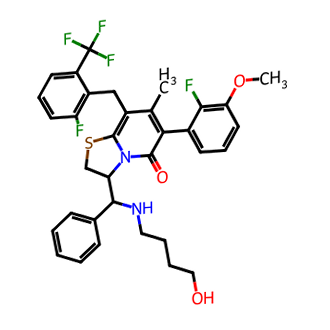 COc1cccc(-c2c(C)c(Cc3c(F)cccc3C(F)(F)F)c3n(c2=O)C(C(NCCCCO)c2ccccc2)CS3)c1F